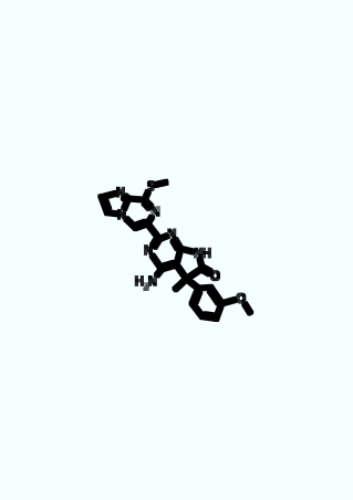 COc1cccc(C2(C)C(=O)Nc3nc(-c4cn5ccnc5c(SC)n4)nc(N)c32)c1